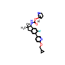 CC1(C)Cc2cc(-c3ccc(OCC4CC4)nc3)c(F)cc2C1NC(=O)O[C@H]1CN2CCC1CC2